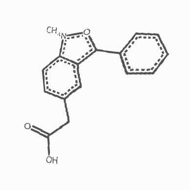 C.O=C(O)Cc1ccc2noc(-c3ccccc3)c2c1